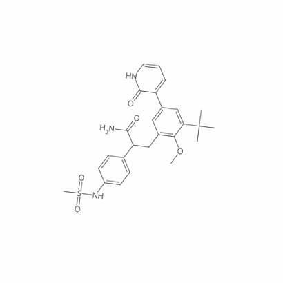 COc1c(CC(C(N)=O)c2ccc(NS(C)(=O)=O)cc2)cc(-c2ccc[nH]c2=O)cc1C(C)(C)C